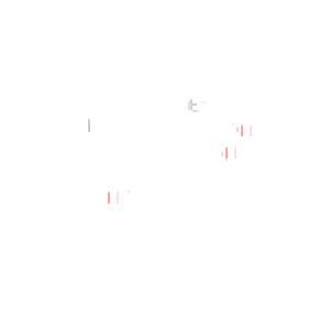 CCO.O=C[C@H](O)[C@@H](O)[C@H](O)CO